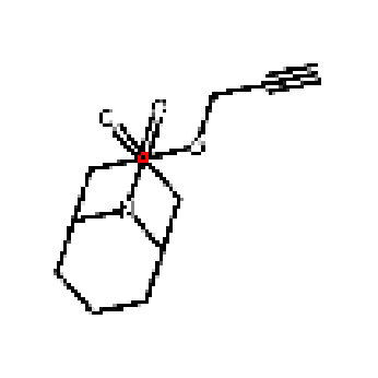 C#CCOC(=O)N1C2CCCC1CC(=O)C2